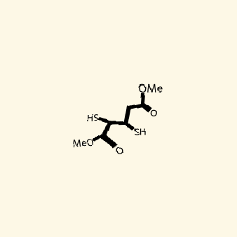 COC(=O)CC(S)C(S)C(=O)OC